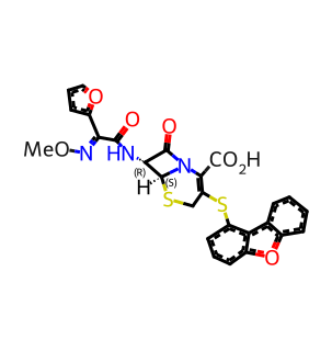 CON=C(C(=O)N[C@@H]1C(=O)N2C(C(=O)O)=C(Sc3cccc4oc5ccccc5c34)CS[C@@H]12)c1ccco1